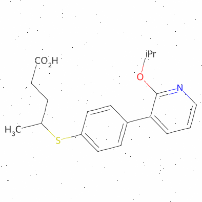 CC(C)Oc1ncccc1-c1ccc(SC(C)CCC(=O)O)cc1